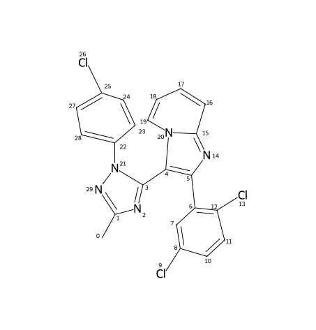 Cc1nc(-c2c(-c3cc(Cl)ccc3Cl)nc3ccccn23)n(-c2ccc(Cl)cc2)n1